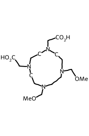 COCN1CCN(COC)CCN(CC(=O)O)CCN(CC(=O)O)CC1